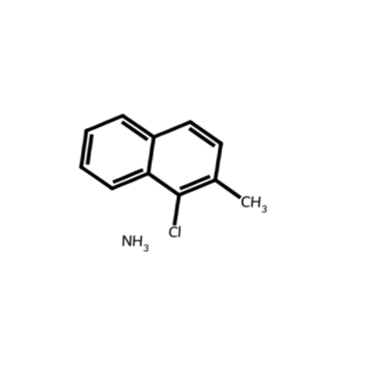 Cc1ccc2ccccc2c1Cl.N